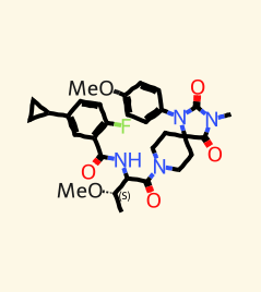 COc1ccc(N2C(=O)N(C)C(=O)C23CCN(C(=O)C(NC(=O)c2cc(C4CC4)ccc2F)[C@H](C)OC)CC3)cc1